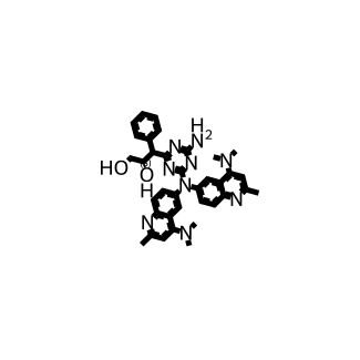 Cc1cc(N(C)C)c2cc(N(c3ccc4nc(C)cc(N(C)C)c4c3)c3nc(N)nc(C(c4ccccc4)[C@H](O)CO)n3)ccc2n1